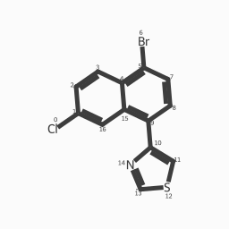 Clc1ccc2c(Br)ccc(-c3cs[c]n3)c2c1